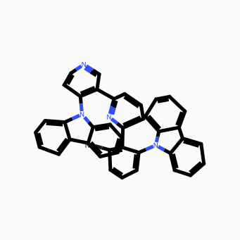 N#Cc1cccc(-n2c3ccccc3c3ccccc32)c1-c1cccc(-c2cnccc2-n2c3ccccc3c3ccccc32)n1